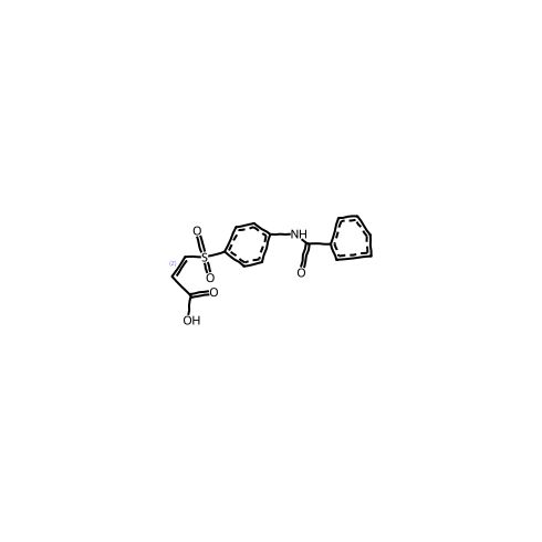 O=C(O)/C=C\S(=O)(=O)c1ccc(NC(=O)c2ccccc2)cc1